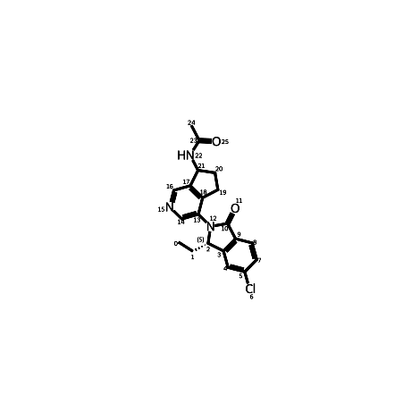 CC[C@H]1c2cc(Cl)ccc2C(=O)N1c1cncc2c1CCC2NC(C)=O